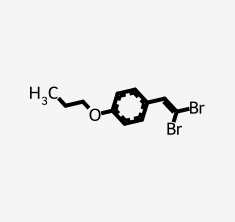 CCCOc1ccc(C=C(Br)Br)cc1